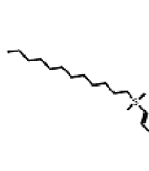 CC=C[Si](C)(C)CCCCCCCCCCCC